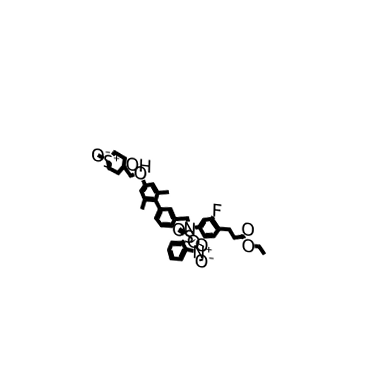 CCOC(=O)CCc1ccc(N(Cc2cccc(-c3c(C)cc(OCC4(O)CC[S+]([O-])CC4)cc3C)c2)S(=O)(=O)c2ccccc2[N+](=O)[O-])cc1F